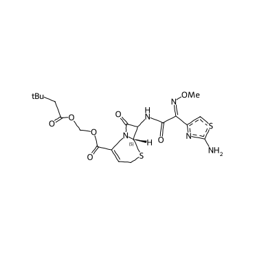 CON=C(C(=O)NC1C(=O)N2C(C(=O)OCOC(=O)CC(C)(C)C)=CCS[C@@H]12)c1csc(N)n1